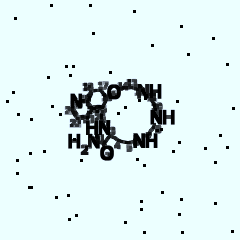 NC(=O)C1CCNCCNCCNCCOC2CC=c3ncccc3=C2CN1